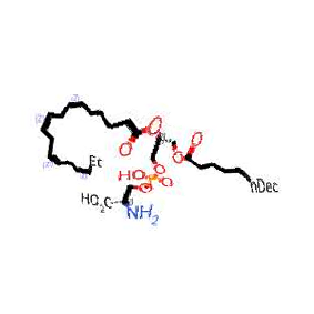 CC/C=C\C/C=C\C/C=C\C/C=C\CCCCC(=O)O[C@H](COC(=O)CCCCCCCCCCCCCC)COP(=O)(O)OC[C@H](N)C(=O)O